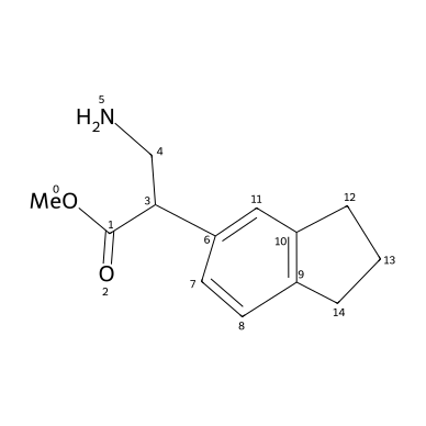 COC(=O)C(CN)c1ccc2c(c1)CCC2